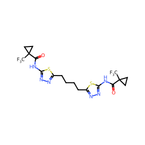 O=C(Nc1nnc(CCCCc2nnc(NC(=O)C3(C(F)(F)F)CC3)s2)s1)C1(C(F)(F)F)CC1